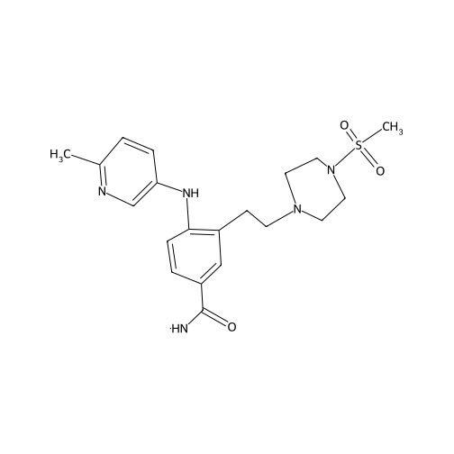 Cc1ccc(Nc2ccc(C([NH])=O)cc2CCN2CCN(S(C)(=O)=O)CC2)cn1